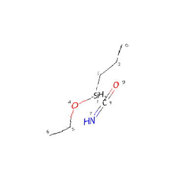 CCC[SiH2]OCC.N=C=O